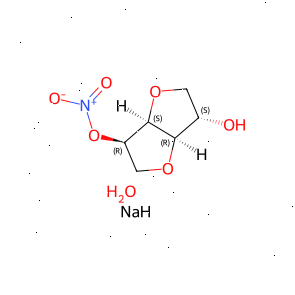 O.O=[N+]([O-])O[C@@H]1CO[C@H]2[C@@H]1OC[C@@H]2O.[NaH]